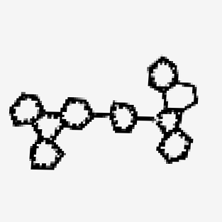 c1ccc2c(c1)CCc1c-2n(-c2ccc(-c3ccc4c5ccccc5c5ccccc5c4c3)cc2)c2ccccc12